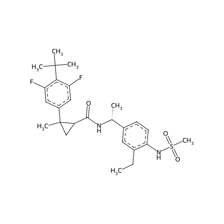 CCc1cc([C@@H](C)NC(=O)C2CC2(C)c2cc(F)c(C(C)(C)C)c(F)c2)ccc1NS(C)(=O)=O